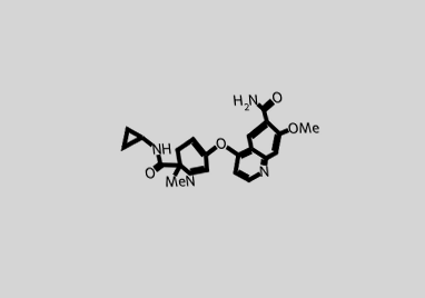 CNC1(C(=O)NC2CC2)C=CC(Oc2ccnc3cc(OC)c(C(N)=O)cc23)=CC1